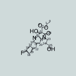 CCOC(=O)c1c(O)c2ncc(Cc3ccc(F)cc3)cc2n(CCCO)c1=O